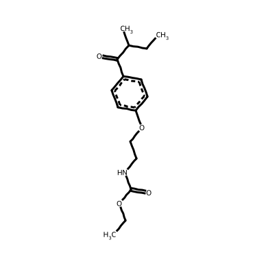 CCOC(=O)NCCOc1ccc(C(=O)C(C)CC)cc1